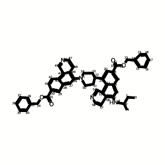 CCC(C)Nc1cc2cc(C(=O)OCc3ccccc3)cc(C3CCN(c4cc5cc(C(=O)OCc6ccccc6)ccc5c5cnccc45)CC3)c2c2cnccc12